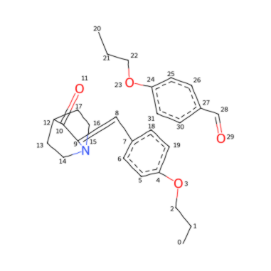 CCCOc1ccc(C=C2C(=O)C3CCN2CC3)cc1.CCCOc1ccc(C=O)cc1